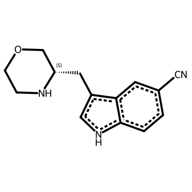 N#Cc1ccc2[nH]cc(C[C@H]3COCCN3)c2c1